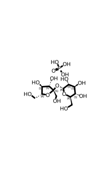 O=P(O)(O)O.OC[C@H]1O[C@@](CO)(O[C@H]2O[C@H](CO)[C@@H](O)[C@H](O)[C@H]2O)[C@@H](O)[C@@H]1O